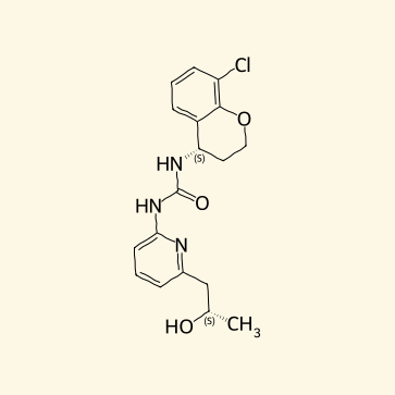 C[C@H](O)Cc1cccc(NC(=O)N[C@H]2CCOc3c(Cl)cccc32)n1